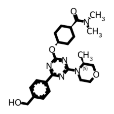 C[C@H]1COCCN1c1nc(O[C@H]2CC[C@H](C(=O)N(C)C)CC2)nc(-c2ccc(CO)cc2)n1